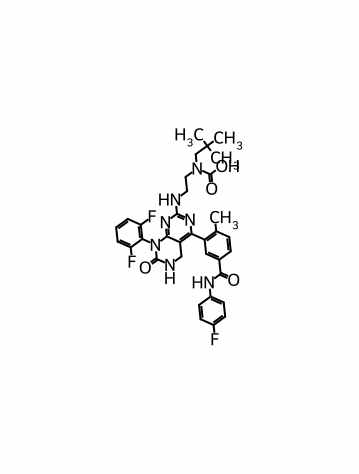 Cc1ccc(C(=O)Nc2ccc(F)cc2)cc1-c1nc(NCCN(CC(C)(C)C)C(=O)O)nc2c1CNC(=O)N2c1c(F)cccc1F